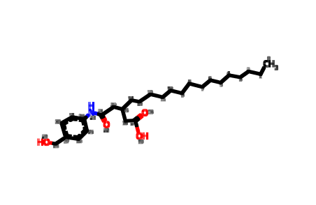 CCCCCCCCCCCCCCCC(CC(=O)O)CC(=O)Nc1ccc(CO)cc1